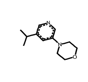 CC(C)c1cncc(N2CCOCC2)c1